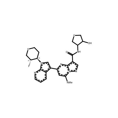 CNc1cc(-c2cn([C@@H]3CCOC[C@H]3F)c3ncccc23)nc2c(C(=O)NC3COCC3O)cnn12